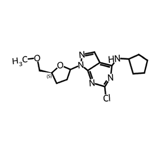 COC[C@@H]1CCC(n2ncc3c(NC4CCCC4)nc(Cl)nc32)O1